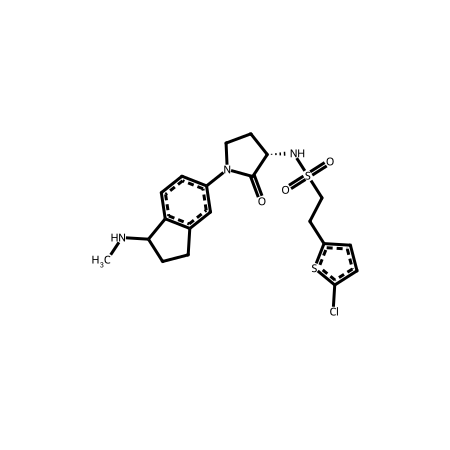 CNC1CCc2cc(N3CC[C@H](NS(=O)(=O)CCc4ccc(Cl)s4)C3=O)ccc21